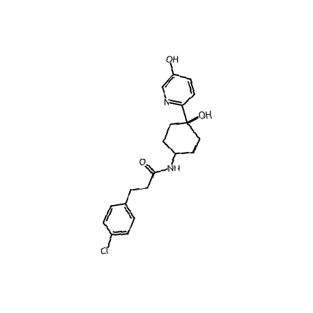 O=C(CCc1ccc(Cl)cc1)NC1CCC(O)(c2ccc(O)cn2)CC1